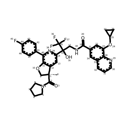 C[C@]1(C(=O)N2CCCC2)COc2c1cc(C(O)(CNC(=O)c1cc(OC3CC3)c3ncccc3c1)C(F)(F)F)nc2-c1ccc(F)cc1